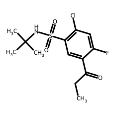 CCC(=O)c1cc(S(=O)(=O)NC(C)(C)C)c(Cl)cc1F